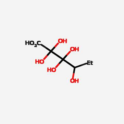 CCC(O)C(O)(O)C(O)(O)C(=O)O